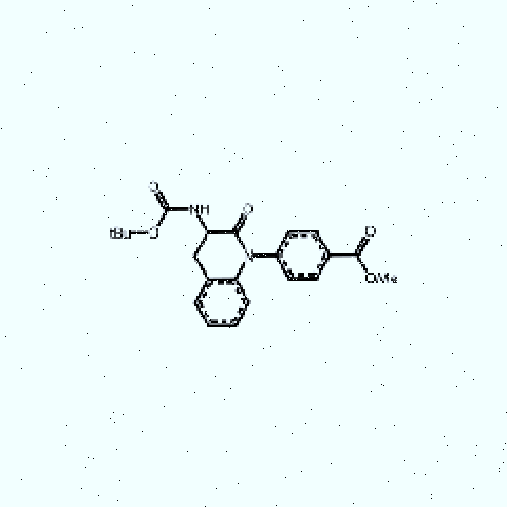 COC(=O)c1ccc(N2C(=O)C(NC(=O)OC(C)(C)C)Cc3ccccc32)cc1